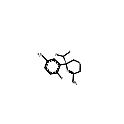 NC1=N[C@@](c2cc(N)ccc2F)(C(F)F)COC1